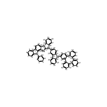 c1ccc(-n2c3ccccc3c3ccc4c(nc5n(-c6ccc7c(c6)c6ccccc6n7-c6ccc7c(c6)-c6ccccc6-c6ccccc6-c6ccccc6-7)c6ccccc6n45)c32)cc1